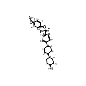 CCC1CCC(C2CCC(c3ccc(C(F)(F)Oc4ccc(OC(F)(F)F)cc4)cc3)CC2)CC1